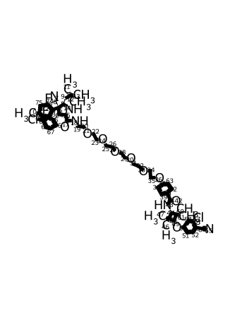 Cc1ccc([C@@]2(C#N)[C@H](CC(C)(C)C)NC(C(=O)NCCOCCOCCOCCOCCOCCOc3ccc(C(=O)N[C@H]4C(C)(C)[C@H](Oc5ccc(C#N)c(Cl)c5)C4(C)C)cc3)[C@@H]2c2cccc(Cl)c2F)c(F)c1